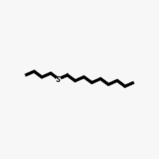 CCCCCCCC[CH]SCCCC